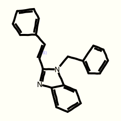 C(=C\c1nc2ccccc2n1Cc1ccccc1)/c1ccccc1